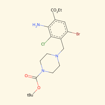 CCOC(=O)c1cc(Br)c(CN2CCN(C(=O)OC(C)(C)C)CC2)c(Cl)c1N